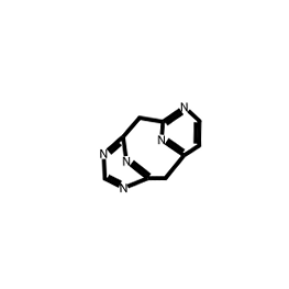 c1cc2nc(n1)Cc1ncnc(n1)C2